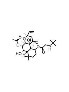 C=C[C@@]1(C)CC(=O)[C@]2(O)[C@@]3(C)[C@@H](OC(=O)CNC(C)(C)C)CCC(C)(C)[C@@H]3[C@H](O)[C@H](OC(C)=O)[C@@]2(C)O1